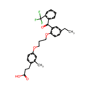 CCc1ccc(OCCCOc2ccc(CCC(=O)O)c(C)c2)c(C(=O)c2ccccc2C(F)(F)F)c1